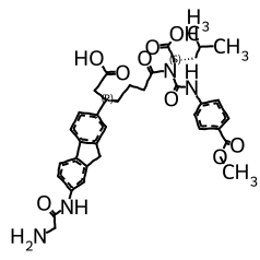 COC(=O)c1ccc(NC(=O)N(C(=O)CCC[C@H](CC(=O)O)c2ccc3c(c2)Cc2cc(NC(=O)CN)ccc2-3)[C@@H](CC(C)C)C(=O)O)cc1